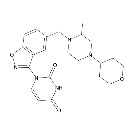 CC1CN(C2CCOCC2)CCN1Cc1ccc2onc(-n3ccc(=O)[nH]c3=O)c2c1